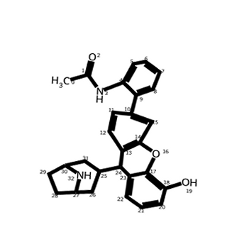 CC(=O)Nc1ccccc1-c1ccc2c(c1)Oc1c(O)cccc1C2C1CC2CCC(C1)N2